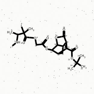 CC(NI)C(C)(I)C(=O)OCC(=O)OC1C2CC3C(=C2C(=O)OC(C)(C)C)C(=O)OC31